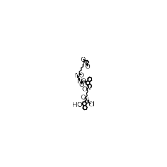 CN(CCN(C)C(=O)Oc1cc2c(c3ccccc13)CCN2C(=O)CCCC(=O)N1C[C@@H](Cl)c2c1cc(O)c1ccccc21)C(=O)CCCCCN1C(=O)C=CC1=O